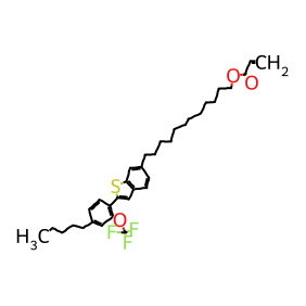 C=CC(=O)OCCCCCCCCCCCCc1ccc2cc(-c3ccc(CCCCC)cc3OC(F)(F)F)sc2c1